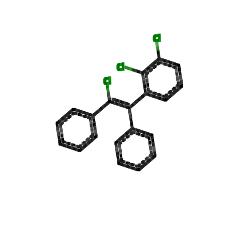 ClC(=C(c1ccccc1)c1cccc(Cl)c1Cl)c1ccccc1